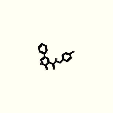 O=C(NCc1ccc(Br)cc1)c1cc(-c2ccncc2)n[nH]c1=O